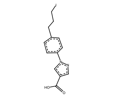 O=C(O)c1cnn(-c2ccc(CCCI)cc2)c1